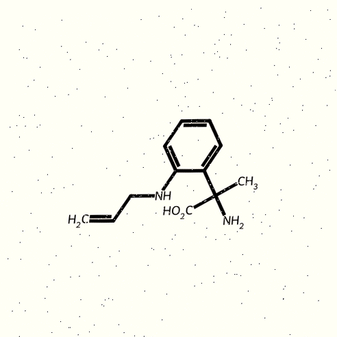 C=CCNc1ccccc1C(C)(N)C(=O)O